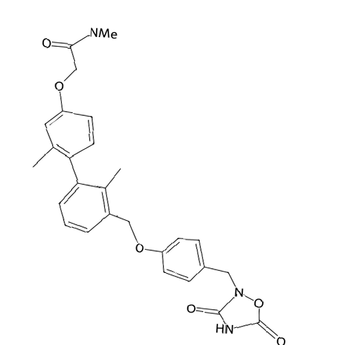 CNC(=O)COc1ccc(-c2cccc(COc3ccc(Cn4oc(=O)[nH]c4=O)cc3)c2C)c(C)c1